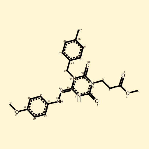 COC(=O)CCn1c(=O)[nH]/c(=N\Nc2ccc(OC)cc2)n(Cc2ccc(C)cc2)c1=O